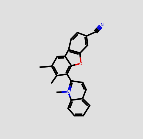 Cc1cc2c(oc3cc(C#N)ccc32)c(-c2ccc3ccccc3[n+]2C)c1C